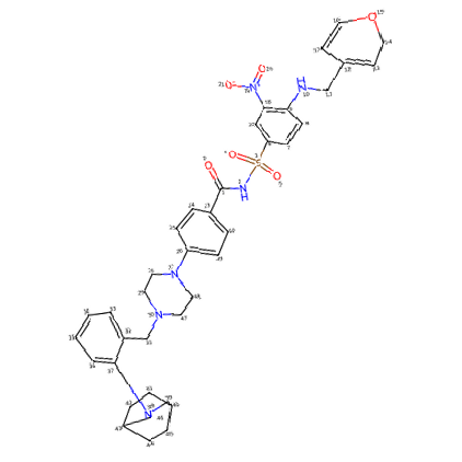 O=C(NS(=O)(=O)c1ccc(NCC2=CCOC=C2)c([N+](=O)[O-])c1)c1ccc(N2CCN(Cc3ccccc3N3CC4CCC(CC4)C3)CC2)cc1